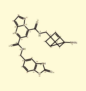 CC(=O)NC12CC34C1=CC3(CNC(=O)c1cc(C(=O)NCc3ccc5oc(=O)[nH]c5c3)nc3ccnn13)CC24